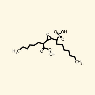 CCCCCCCC(C1OC1C(CCCCCC)C(=O)OO)S(=O)(=O)O